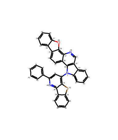 c1ccc(-c2cc(-n3c4ccccc4c4cnc5c(ccc6c7ccccc7oc65)c43)c3sc4ccccc4c3n2)cc1